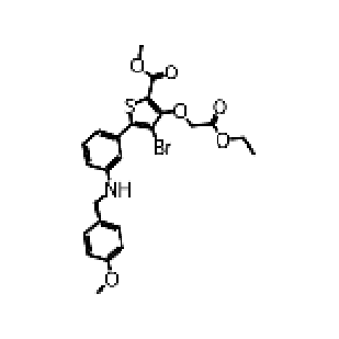 CCOC(=O)COc1c(C(=O)OC)sc(-c2cccc(NCc3ccc(OC)cc3)c2)c1Br